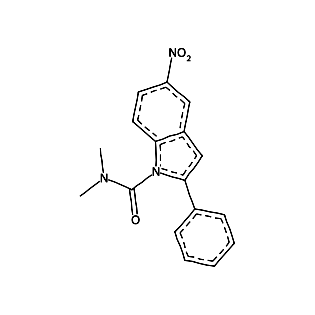 CN(C)C(=O)n1c(-c2ccccc2)cc2cc([N+](=O)[O-])ccc21